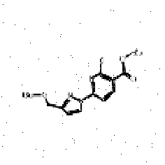 CC(C)(C)OCc1ccn(-c2ccc(C(=O)OC(C)(C)C)c(Cl)n2)n1